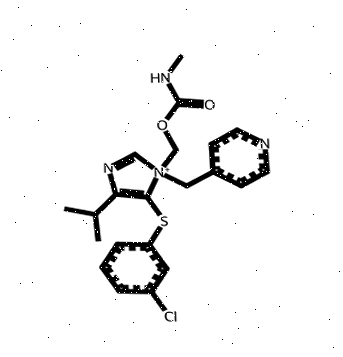 CNC(=O)OC[N+]1(Cc2ccncc2)C=NC(C(C)C)=C1Sc1cccc(Cl)c1